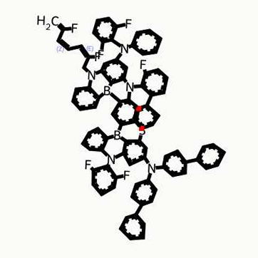 C=C(F)/C=C\C=C(\F)CN1c2ccccc2B2c3cc4c(cc3N(c3c(F)cccc3-c3ccccc3)c3cc(N(c5ccccc5)c5c(F)cccc5F)cc1c32)Sc1cc(N(c2ccc(-c3ccccc3)cc2)c2ccc(-c3ccccc3)cc2)cc2c1B4c1ccccc1N2c1c(F)cccc1F